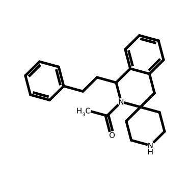 CC(=O)N1C(CCc2ccccc2)c2ccccc2CC12CCNCC2